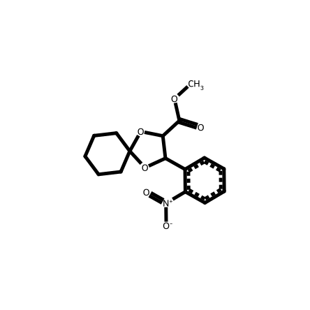 COC(=O)C1OC2(CCCCC2)OC1c1ccccc1[N+](=O)[O-]